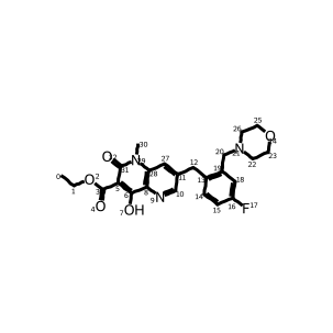 CCOC(=O)c1c(O)c2ncc(Cc3ccc(F)cc3CN3CCOCC3)cc2n(C)c1=O